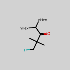 CCCCCCC(CCCCCC)C(=O)C(C)(C)CF